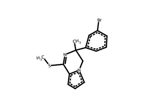 CSC1=NC(C)(c2cccc(Br)c2)Cn2cccc21